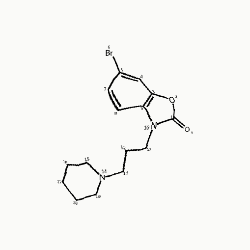 O=c1oc2cc(Br)ccc2n1CCCN1CCCCC1